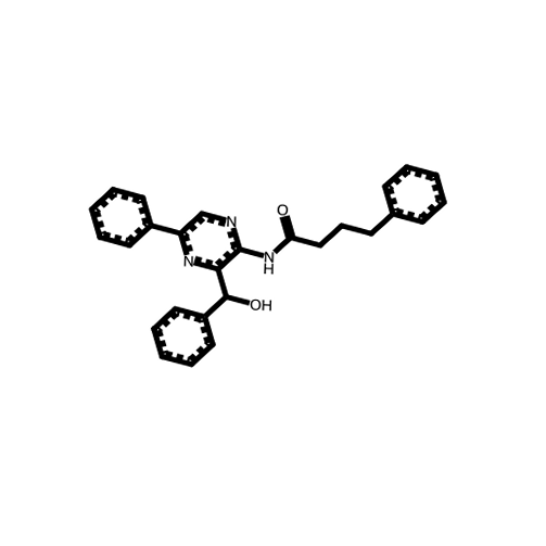 O=C(CCCc1ccccc1)Nc1ncc(-c2ccccc2)nc1C(O)c1ccccc1